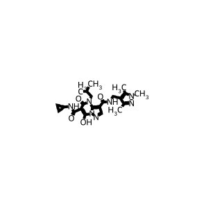 Cc1nn(C)c(C)c1CNC(=O)c1cnn2c(O)c(C(=O)NC3CC3)c(=O)n(CC(C)C)c12